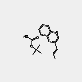 CC(C)(C)OC(=O)O.CC=Cc1cnc2ccccc2c1